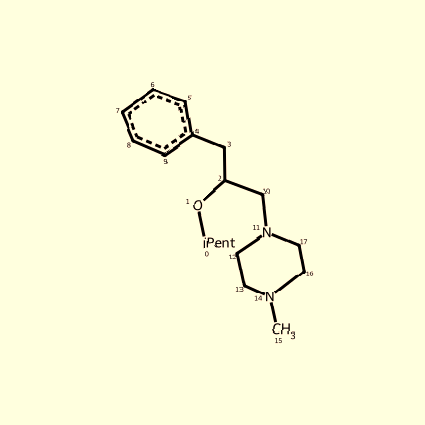 CCCC(C)OC(Cc1ccccc1)CN1CCN(C)CC1